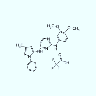 COc1ccc(Nc2nccc(Nc3cc(C)nn3-c3ccccc3)n2)cc1OC.O=C(O)C(F)(F)F